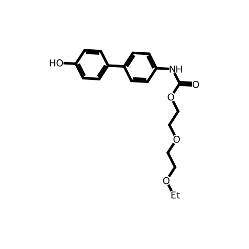 CCOCCOCCOC(=O)Nc1ccc(-c2ccc(O)cc2)cc1